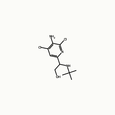 CC(C)(C)NC(CO)c1cc(Cl)c(N)c(Cl)n1